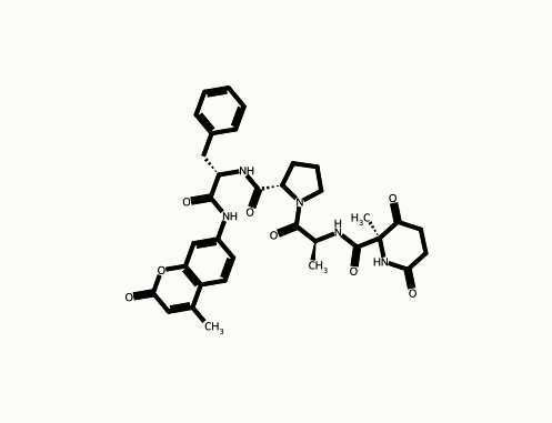 Cc1cc(=O)oc2cc(NC(=O)[C@H](Cc3ccccc3)NC(=O)[C@@H]3CCCN3C(=O)[C@H](C)NC(=O)[C@]3(C)NC(=O)CCC3=O)ccc12